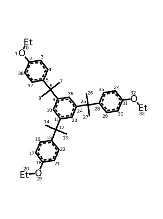 CCOc1ccc(C(C)(C)c2cc(C(C)(C)c3ccc(OCC)cc3)cc(C(C)(C)c3ccc(OCC)cc3)c2)cc1